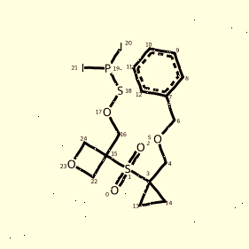 O=S(=O)(C1(COCc2ccccc2)CC1)C1(COSP(I)I)COC1